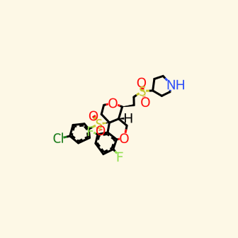 O=S(=O)(CC[C@@H]1OCC[C@@]2(S(=O)(=O)c3ccc(Cl)cc3)c3c(F)ccc(F)c3OC[C@@H]12)C1CCNCC1